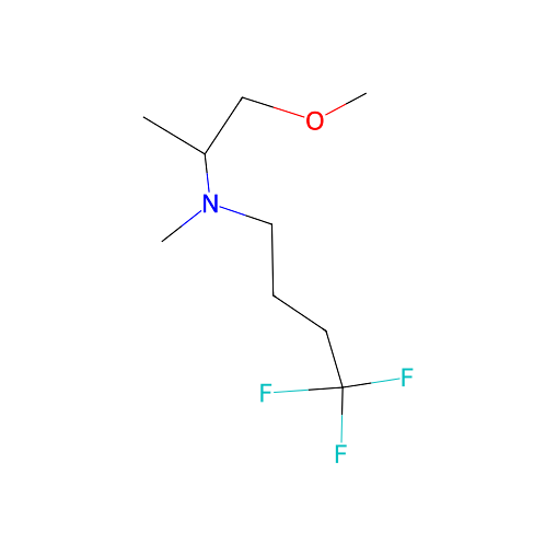 COCC(C)N(C)CCCC(F)(F)F